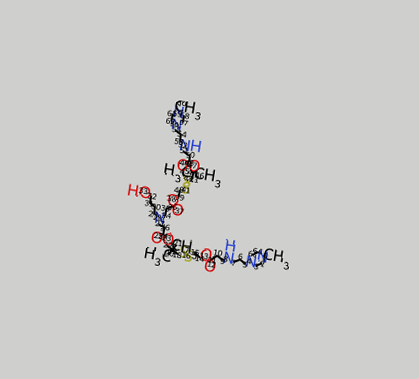 CN1CCN(CCCNCCC(=O)OCCSSCC(C)(C)COC(=O)CCN(CCCCO)CCC(=O)OCCSSCC(C)(C)OC(=O)CCNCCCN2CCN(C)CC2)CC1